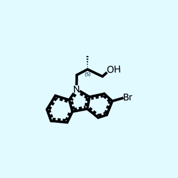 C[C@H](CO)Cn1c2ccccc2c2ccc(Br)cc21